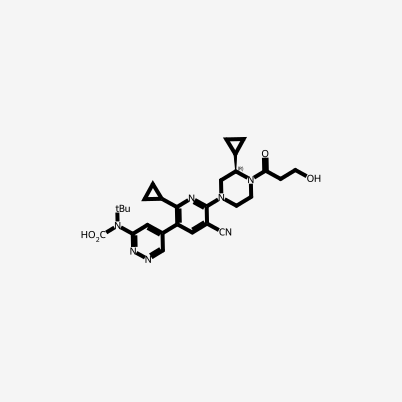 CC(C)(C)N(C(=O)O)c1cc(-c2cc(C#N)c(N3CCN(C(=O)CCO)[C@H](C4CC4)C3)nc2C2CC2)cnn1